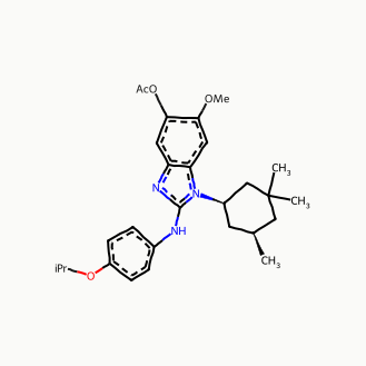 COc1cc2c(cc1OC(C)=O)nc(Nc1ccc(OC(C)C)cc1)n2[C@@H]1C[C@H](C)CC(C)(C)C1